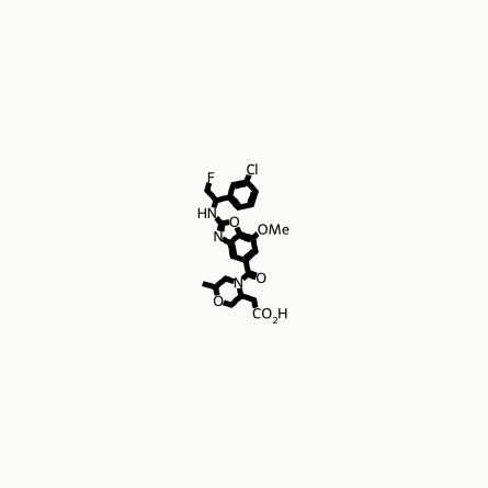 COc1cc(C(=O)N2CC(C)OCC2CC(=O)O)cc2nc(NC(CF)c3cccc(Cl)c3)oc12